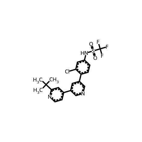 CC(C)(C)c1cc(-c2cncc(-c3ccc(NS(=O)(=O)C(F)(F)F)cc3Cl)c2)ccn1